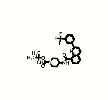 CC(C)(C)OC(=O)N1CCC(NC(=O)c2cccc3ccc(-c4cccc(C(F)(F)F)c4)nc23)CC1